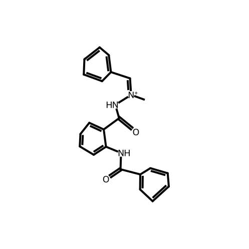 C[N+](=Cc1ccccc1)NC(=O)c1ccccc1NC(=O)c1ccccc1